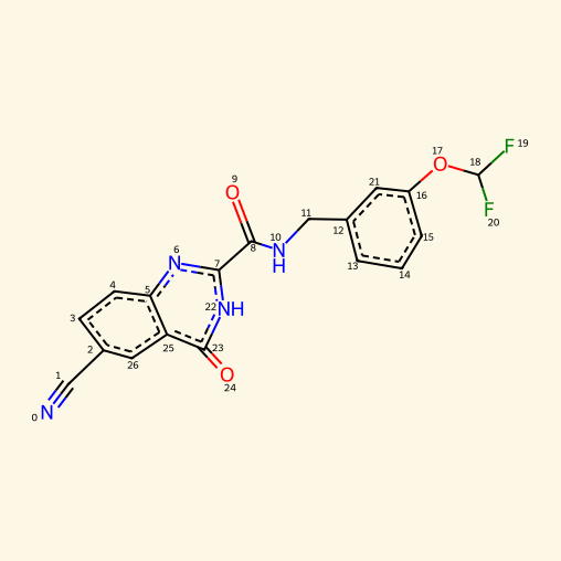 N#Cc1ccc2nc(C(=O)NCc3cccc(OC(F)F)c3)[nH]c(=O)c2c1